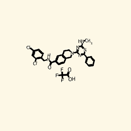 CNc1nc(-c2ccccc2)nc(N2CCc3cc(C(=O)NCc4ccc(Cl)cc4Cl)ccc3C2)n1.O=C(O)C(F)(F)F